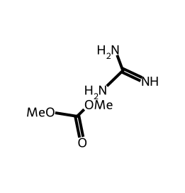 COC(=O)OC.N=C(N)N